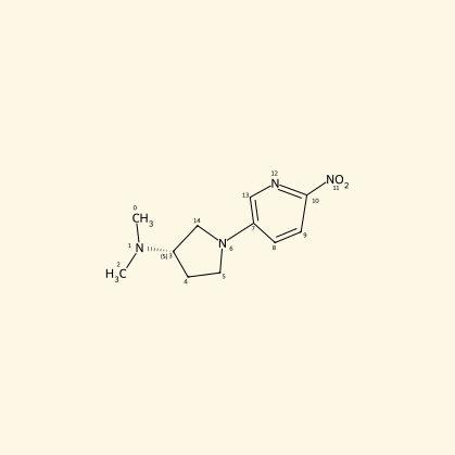 CN(C)[C@H]1CCN(c2ccc([N+](=O)[O-])nc2)C1